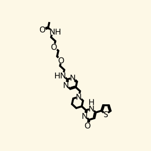 CC(=O)NCCOCCOCCNc1ncc(CN2CCCC(c3nc(=O)cc(-c4cccs4)[nH]3)C2)cn1